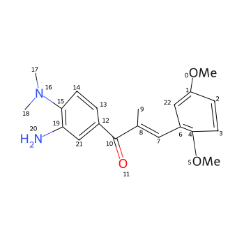 COc1ccc(OC)c(/C=C(\C)C(=O)c2ccc(N(C)C)c(N)c2)c1